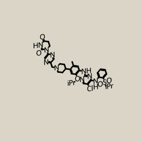 Cc1cc(Nc2ncc(Cl)c(Nc3ccccc3S(=O)(=O)C(C)C)n2)c(OC(C)C)cc1C1CCN(Cc2cnc(N3CCC(=O)NC3=O)cn2)CC1